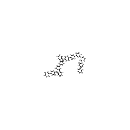 c1ccc(-c2ccc(-c3cccc(-c4cccc(-c5ccc(-c6ccc(-n7c8ccccc8c8cc(-c9ccc%10c(c9)c9ccccc9n%10-c9ccc(-c%10ccccc%10)cc9)ccc87)cc6)cc5)c4)c3)cc2)cc1